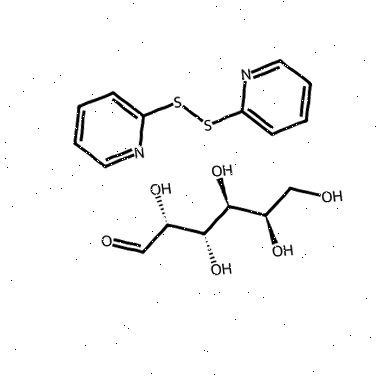 O=C[C@H](O)[C@@H](O)[C@@H](O)[C@H](O)CO.c1ccc(SSc2ccccn2)nc1